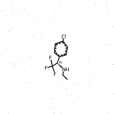 CCN[C@H](c1ccc(Cl)cc1)C(F)(F)F